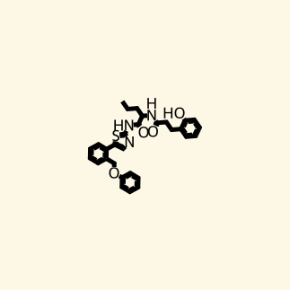 CCCC(NC(=O)CCc1ccccc1O)C(=O)Nc1ncc(-c2ccccc2COc2ccccc2)s1